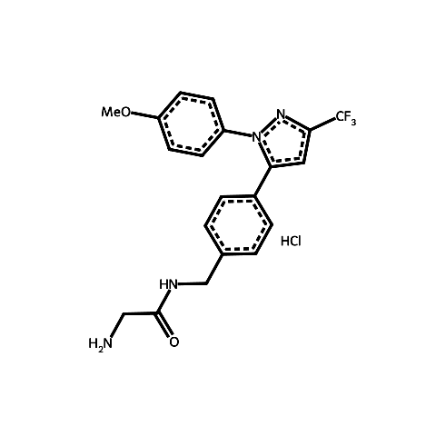 COc1ccc(-n2nc(C(F)(F)F)cc2-c2ccc(CNC(=O)CN)cc2)cc1.Cl